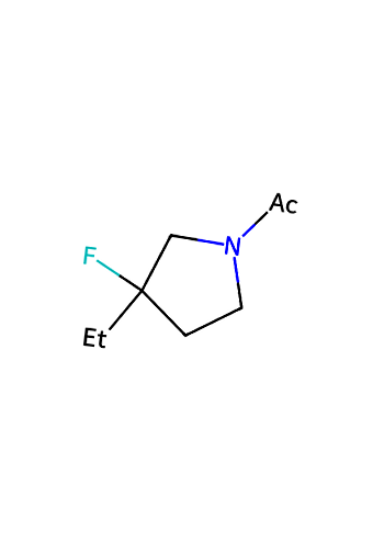 CCC1(F)CCN(C(C)=O)C1